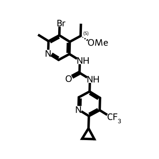 CO[C@@H](C)c1c(NC(=O)Nc2cnc(C3CC3)c(C(F)(F)F)c2)cnc(C)c1Br